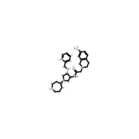 O=C(CN1CCc2ccc(C(F)(F)F)cc2C1)NC1CN(C2CCCOCC2)C[C@@H]1OCc1ccccn1